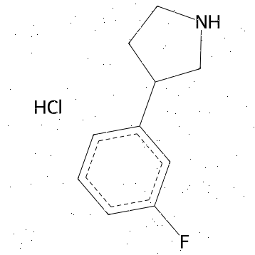 Cl.Fc1cccc(C2CCNC2)c1